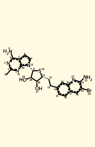 Cc1nc(N)c2ccn([C@@H]3S[C@H](CCc4ccc5cc(Br)c(N)nc5c4)[C@@H](O)[C@H]3O)c2n1